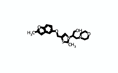 Cc1cc2cc(OCC3=CN(C(CO)CN4CCOCC4)C(C)S3)ccc2o1